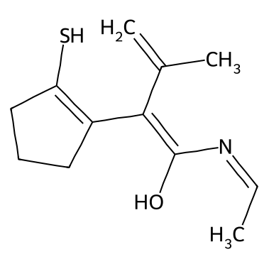 C=C(C)/C(C1=C(S)CCC1)=C(O)\N=C/C